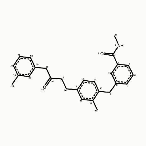 CNC(=O)c1cccc(Cc2ccc(CCC(=O)Cc3cccc(C)c3)cc2C)c1